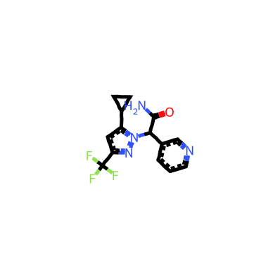 NC(=O)C(c1cccnc1)n1nc(C(F)(F)F)cc1C1CC1